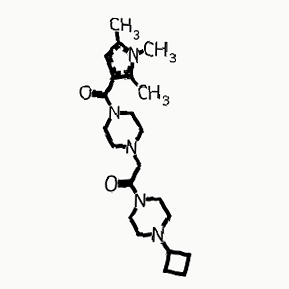 Cc1cc(C(=O)N2CCN(CC(=O)N3CCN(C4CCC4)CC3)CC2)c(C)n1C